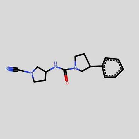 N#CN1CCC(NC(=O)N2CCC(c3ccccc3)C2)C1